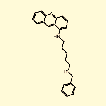 c1ccc(CNCCCCCNc2cccc3nc4ccccc4cc23)cc1